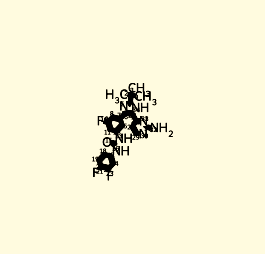 CC(C)(C)c1nc(-c2cc(F)cc(NC(=O)Nc3ccc(F)c(F)c3)c2)c(-c2ccnc(N)n2)[nH]1